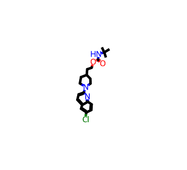 CC(C)(C)NC(=O)OCCC1CCN(c2ccc3cc(Cl)ccc3n2)CC1